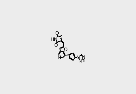 O=C1NC(=O)/C(=C\c2cc3cncc(-c4ccc(-n5cnnn5)cc4)c3o2)S1